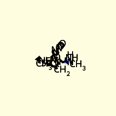 C=C1Cc2cc(SNC3(C)CC3)sc2N(Cc2ccc(N3CCOCC3)nc2)C(=O)N(CC/C(C=N)=C/NC)C1